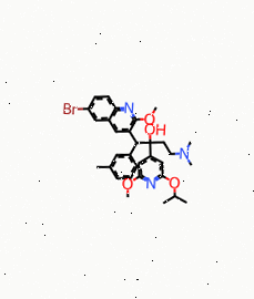 COc1cc(C(O)(CCN(C)C)C(c2cccc(C)c2)c2cc3cc(Br)ccc3nc2OC)cc(OC(C)C)n1